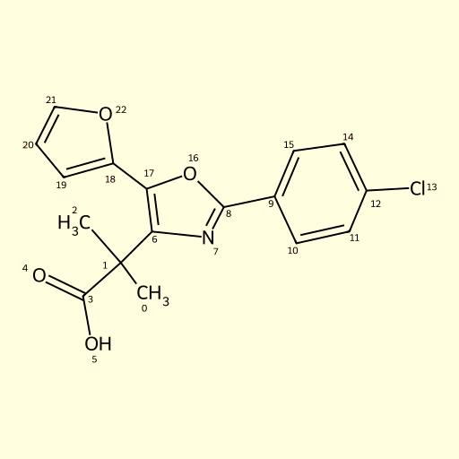 CC(C)(C(=O)O)c1nc(-c2ccc(Cl)cc2)oc1-c1ccco1